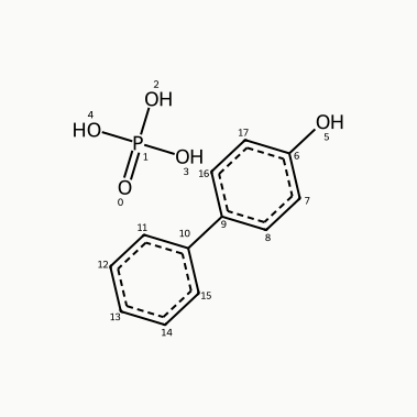 O=P(O)(O)O.Oc1ccc(-c2ccccc2)cc1